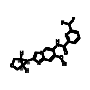 CCOc1cc2nc([C@H]3[C@@H]4COC[C@@H]43)cn2cc1NC(=O)c1cccc(C(F)F)n1